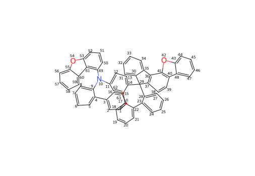 c1ccc(-c2ccccc2N(c2ccc3c(c2)-c2ccccc2-c2ccccc2C32c3ccccc3-c3c2ccc2c3oc3ccccc32)c2cccc3oc4ccccc4c23)cc1